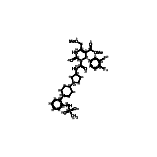 COCC1=C(C(=O)OC)[C@H](c2ccc(F)c(F)c2)N(C(=O)NC2CCN(C3CCN(c4ccccc4NS(C)(=O)=O)CC3)C2)C(=O)N1